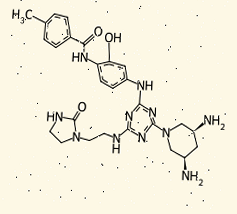 Cc1ccc(C(=O)Nc2ccc(Nc3nc(NCCN4CCNC4=O)nc(N4C[C@H](N)C[C@H](N)C4)n3)cc2O)cc1